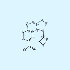 O=C(O)c1ccc2c(c1)N(C[C@@H]1CCO1)C(CBr)=CO2